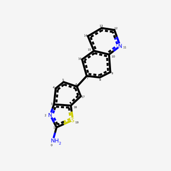 Nc1nc2ccc(-c3ccc4ncccc4c3)cc2s1